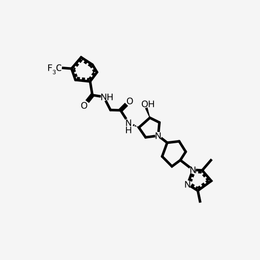 Cc1cc(C)n(C2CCC(N3C[C@H](NC(=O)CNC(=O)c4cccc(C(F)(F)F)c4)[C@@H](O)C3)CC2)n1